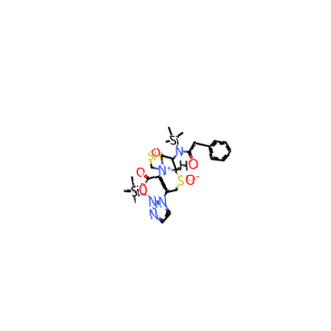 C[Si](C)(C)OC(=O)C1=C(n2ccnn2)C[S+]([O-])[C@H]2C(N(C(=O)Cc3ccccc3)[Si](C)(C)C)C(=O)[N+]12CS